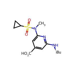 CC[C@H](C)Nc1cc(C(=O)O)cc(N(C)S(=O)(=O)C2CC2)n1